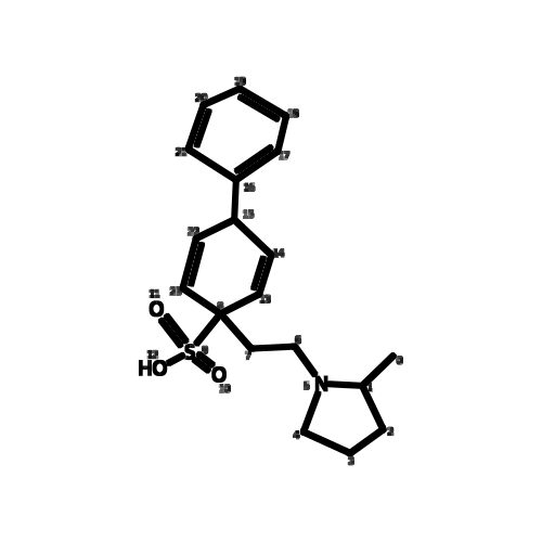 CC1CCCN1CCC1(S(=O)(=O)O)C=CC(c2ccccc2)C=C1